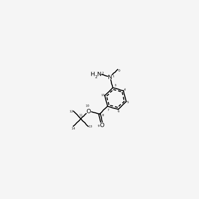 CN(N)c1cccc(C(=O)OC(C)(C)C)c1